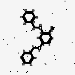 Brc1c[c]c(OCc2ccccc2)cc1OCc1ccccc1